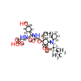 CCCCC1(CC)CN(c2ccccc2)c2cc(SC)c(OCC(=O)N[C@@H](C(=O)NCCS(=O)(=O)O)c3ccc(O)cc3)cc2S(=O)(=O)C1